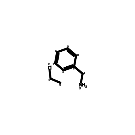 CCCl.NCc1ccccc1